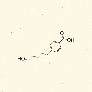 O=C(O)c1ccc(CCCCCO)cc1